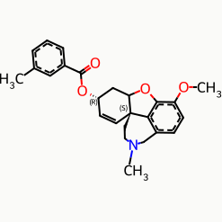 COc1ccc2c3c1OC1C[C@@H](OC(=O)c4cccc(C)c4)C=C[C@@]31CCN(C)C2